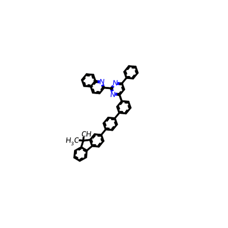 CC1(C)c2ccccc2-c2ccc(-c3ccc(-c4cccc(-c5cc(-c6ccccc6)nc(-c6ccc7ccccc7n6)n5)c4)cc3)cc21